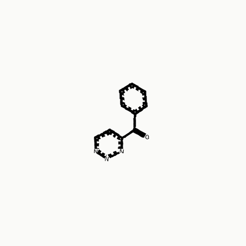 O=C(c1ccccc1)c1ccnnn1